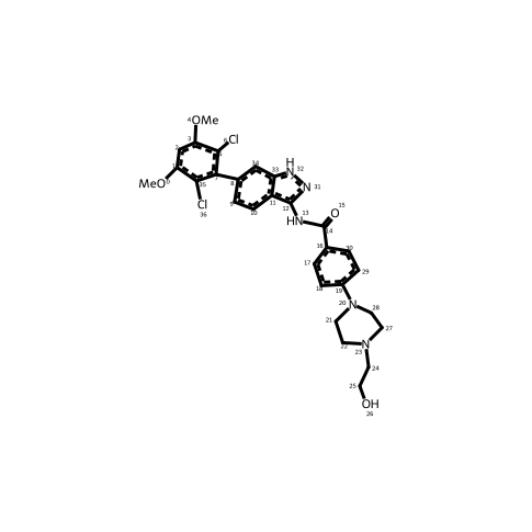 COc1cc(OC)c(Cl)c(-c2ccc3c(NC(=O)c4ccc(N5CCN(CCO)CC5)cc4)n[nH]c3c2)c1Cl